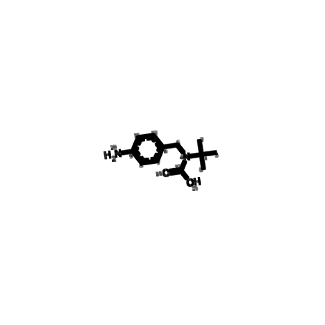 CC(C)(C)N(Cc1ccc(N)cc1)C(=O)O